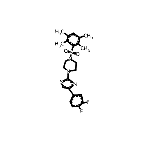 Cc1cc(C)c(C)c(S(=O)(=O)N2CCN(c3nc(-c4ccc(F)c(F)c4)cs3)CC2)c1C